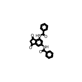 O=C(Nc1cc(NC(=O)c2ccccc2)c2c(c1)C(=O)CC2=O)c1ccccc1